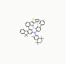 Cc1cc2c(cc1N1c3cc4c(c5c3B(c3c1ccc1c3sc3ccccc31)n1c3c-5cccc3c3sc5ccccc5c31)-c1ccccc1C4(C)C)C(C)(C)CCC2(C)C